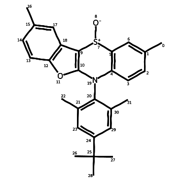 Cc1ccc2c(c1)[S+]([O-])c1c(oc3ccc(C)cc13)N2c1c(C)cc(C(C)(C)C)cc1C